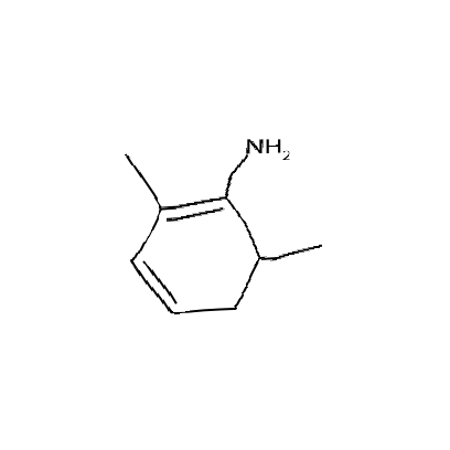 CC1=C(N)C(C)CC=C1